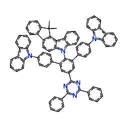 CC1(C)c2ccccc2-c2ccc3c(c21)c1ccccc1n3-c1c(-c2ccc(-n3c4ccccc4c4ccccc43)cc2)cc(-c2nc(-c3ccccc3)nc(-c3ccccc3)n2)cc1-c1ccc(-n2c3ccccc3c3ccccc32)cc1